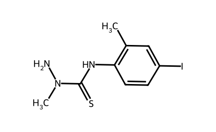 Cc1cc(I)ccc1NC(=S)N(C)N